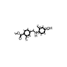 COC(=O)c1ccc(CNc2ccc(O)cc2C)cc1C